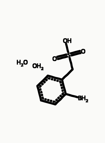 Bc1ccccc1CS(=O)(=O)O.O.O